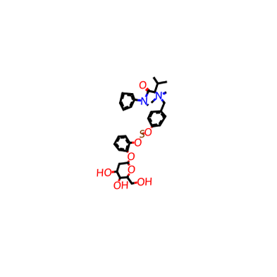 CC(C)C(C(=O)N(C)c1ccccc1)[N+](C)(C)Cc1ccc(OSOc2ccccc2OC2CC(O)C(O)C(CO)O2)cc1